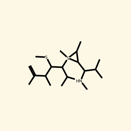 C=C(C)C(C)C(SC)C(C(C)C)S1(C)C(C)C1C(NC)C(C)C